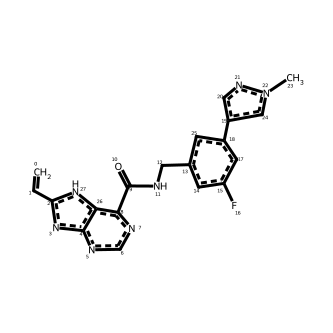 C=Cc1nc2ncnc(C(=O)NCc3cc(F)cc(-c4cnn(C)c4)c3)c2[nH]1